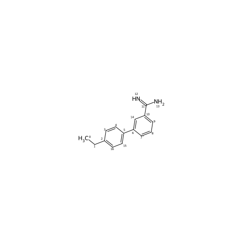 CCc1ccc(-c2[c]ccc(C(=N)N)c2)cc1